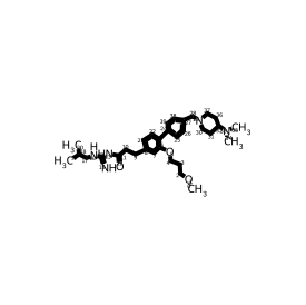 COCCCOc1cc(CCC(=O)NC(=N)NCC(C)C)ccc1-c1ccc(CN2CCC(N(C)C)CC2)cc1